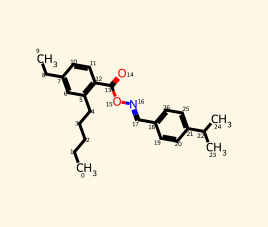 CCCCCc1cc(CC)ccc1C(=O)ON=Cc1ccc(C(C)C)cc1